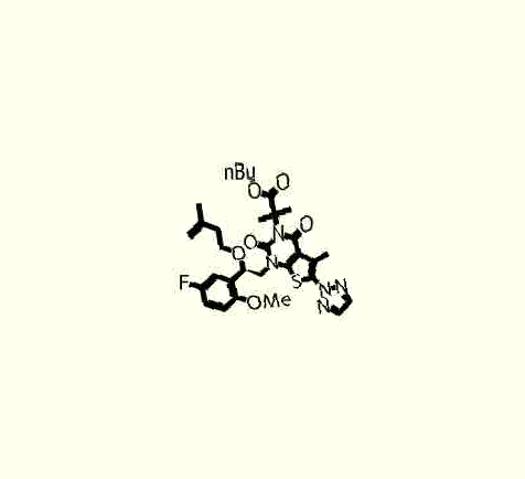 C=C(C)CCO[C@@H](Cn1c(=O)n(C(C)(C)C(=O)OCCCC)c(=O)c2c(C)c(-n3nccn3)sc21)c1cc(F)ccc1OC